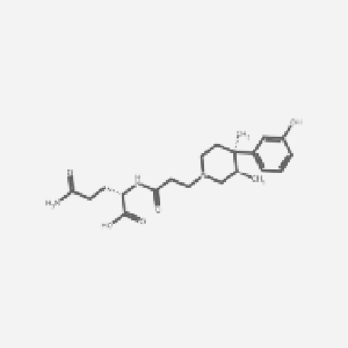 C[C@H]1CN(CCC(=O)N[C@@H](CCC(N)=O)C(=O)O)CC[C@@]1(C)c1cccc(O)c1